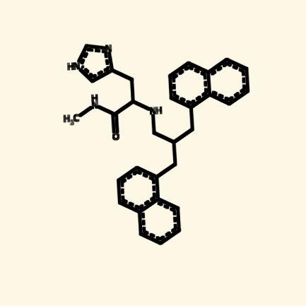 CNC(=O)C(Cc1c[nH]cn1)NCC(Cc1cccc2ccccc12)Cc1cccc2ccccc12